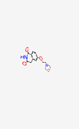 O=C1Cc2cc(OCCN3CCOCC3)ccc2C(=O)N1